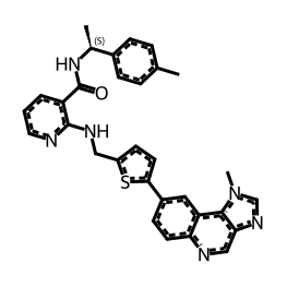 Cc1ccc([C@H](C)NC(=O)c2cccnc2NCc2ccc(-c3ccc4ncc5ncn(C)c5c4c3)s2)cc1